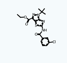 CCOC(=O)c1nn(C(C)(C)C)c2nc(NC(=O)c3cccc(Cl)c3)sc12